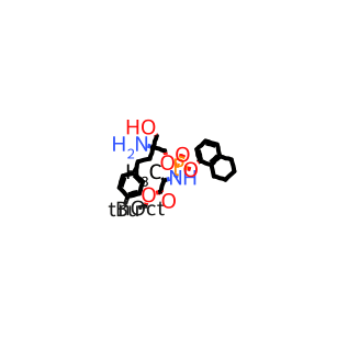 CCCCCCCCc1ccc(CCC(N)(CO)COP(=O)(N[C@H](C)C(=O)OCC(C)(C)C)Oc2cccc3c2CCCC3)cc1